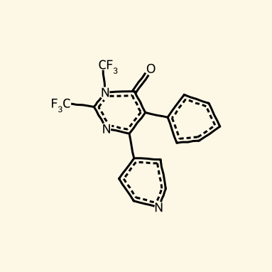 O=c1c(-c2ccccc2)c(-c2ccncc2)nc(C(F)(F)F)n1C(F)(F)F